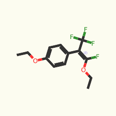 CCO/C(F)=C(\c1ccc(OCC)cc1)C(F)(F)F